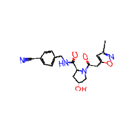 Cc1cc(CC(=O)N2C[C@H](O)C[C@H]2C(=O)NCc2ccc(C#N)cc2)on1